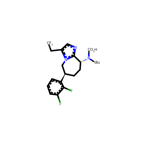 CC(C)(C)N(C(=O)O)[C@@H]1CC[C@@H](c2cccc(F)c2F)Cn2c(CC(F)(F)F)cnc21